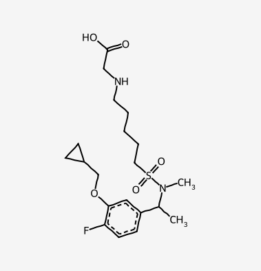 CC(c1ccc(F)c(OCC2CC2)c1)N(C)S(=O)(=O)CCCCCNCC(=O)O